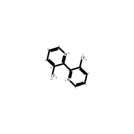 FC(F)(F)c1cccnc1-c1ncccc1C(F)(F)F